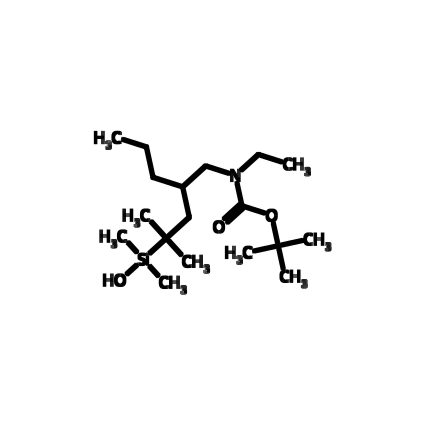 CCCC(CN(CC)C(=O)OC(C)(C)C)CC(C)(C)[Si](C)(C)O